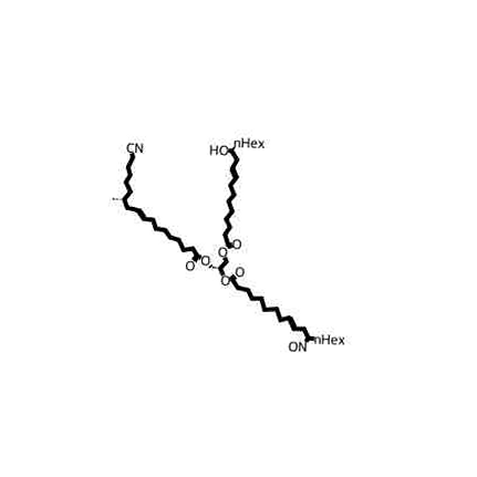 CCCCCCC(C/C=C/CCCCCCCC(=O)O[C@H](COC(=O)CCCCCCC/C=C/C[C@H](C)CCCCCC#N)COC(=O)CCCCCCC/C=C/C[C@@H](O)CCCCCC)N=O